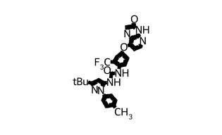 Cc1ccc(-n2nc(C(C)(C)C)cc2NC(=O)Nc2ccc(Oc3ccnc4[nH]c(=O)cnc34)cc2C(F)(F)F)cc1